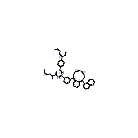 C=C/C(=C\C=C/C)c1ccc(/C=N/C(=N\C(=C)/C(C)=C/C=C\C)c2cccc(/C3=c4\cccc\c4=C(/c4cccc5ccccc45)C/C=C\C=C/C3)c2)cc1